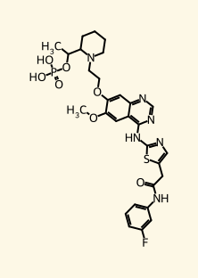 COc1cc2c(Nc3ncc(CC(=O)Nc4cccc(F)c4)s3)ncnc2cc1OCCN1CCCCC1C(C)OP(=O)(O)O